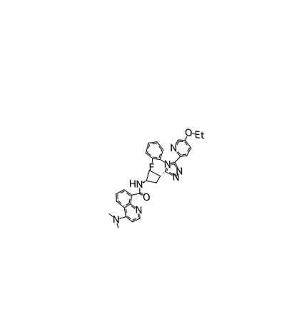 CCOc1ccc(-c2nnc([C@H]3C[C@H](NC(=O)c4cccc5c(N(C)C)ccnc45)C3)n2-c2ccccc2F)nc1